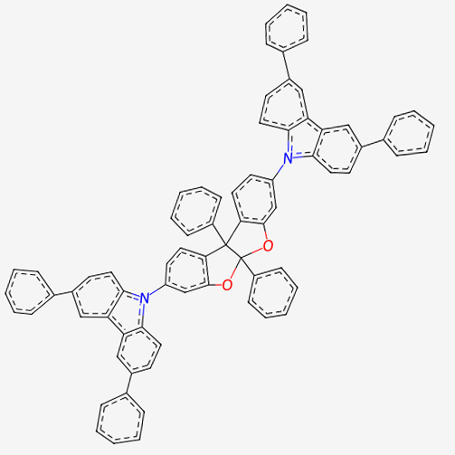 c1ccc(-c2ccc3c(c2)c2cc(-c4ccccc4)ccc2n3-c2ccc3c(c2)OC2(c4ccccc4)Oc4cc(-n5c6ccc(-c7ccccc7)cc6c6cc(-c7ccccc7)ccc65)ccc4C32c2ccccc2)cc1